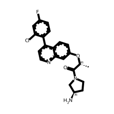 C[C@@H](Oc1ccc2c(-c3ccc(F)cc3Cl)ccnc2c1)C(=O)N1CC[C@@H](N)C1